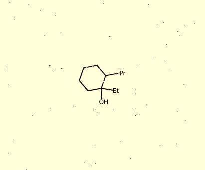 CCC1(O)CCCCC1C(C)C